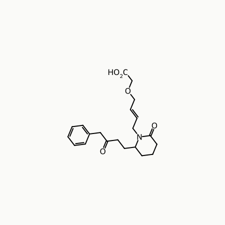 O=C(O)COCC=CCN1C(=O)CCCC1CCC(=O)Cc1ccccc1